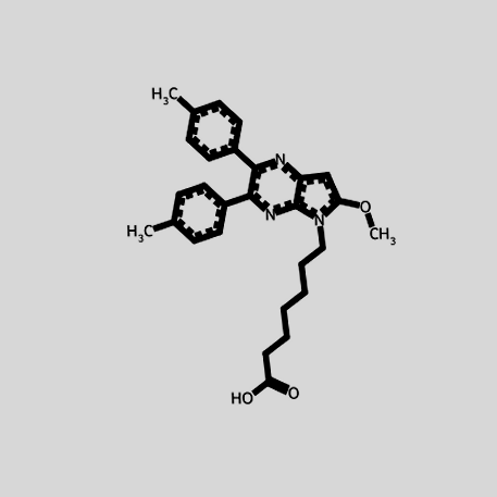 COc1cc2nc(-c3ccc(C)cc3)c(-c3ccc(C)cc3)nc2n1CCCCCCC(=O)O